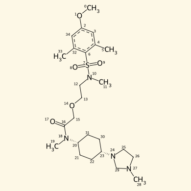 COc1cc(C)c(S(=O)(=O)N(C)CCOCC(=O)N(C)[C@H]2CC[C@@H](N3CCN(C)C3)CC2)c(C)c1